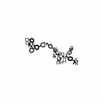 Cc1ncsc1-c1ccc([C@H](CN2CCC3(COC3)C2)NC(=O)[C@@H]2C[C@@H](O)CN2C(=O)[C@@H](n2cc(C3CCC(CN4CCC(c5ccc6c(c5)-n5c(nc(=O)c7c(Cl)cccc75)C65CCCCC5)CC4)CC3)nn2)C(C)(C)C)cc1